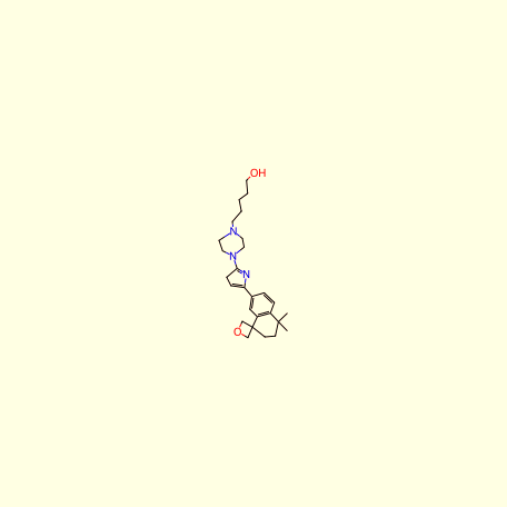 CC1(C)CCC2(COC2)c2cc(C3=CCC(N4CCN(CCCCCO)CC4)=N3)ccc21